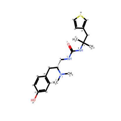 CN(C)[C@@H](CNC(=O)NC(C)(C)Cc1ccsc1)Cc1ccc(O)cc1